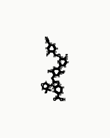 CC1(C)COC[C@H]1n1c(Cc2cc(F)c(-c3ccc(F)c(OCc4ccc(C#N)cc4F)n3)cc2F)nc2ccc(C(=O)O)cc21